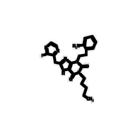 CCCCCn1c(=O)c2[nH]c(Cc3nccnc3F)nc2n(CCc2ccccc2N)c1=O